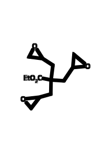 CCOC(=O)C(CC1CO1)(CC1CO1)CC1CO1